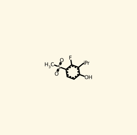 CC(C)c1c(O)ccc(S(C)(=O)=O)c1F